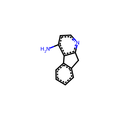 Nc1ccnc2c1-c1ccccc1C2